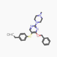 CN1CCN(c2ncc(Sc3ccc(CC=O)cc3)c(OCc3ccccc3)n2)CC1